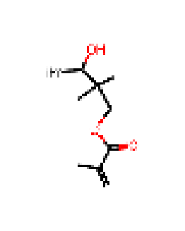 C=C(C)C(=O)OCC(C)(C)C(O)C(C)C